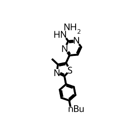 CCCCc1ccc(-c2nc(C)c(-c3ccnc(NN)n3)s2)cc1